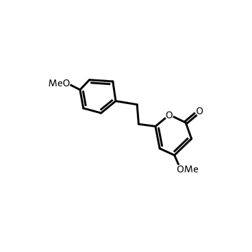 COc1ccc(CCc2cc(OC)cc(=O)o2)cc1